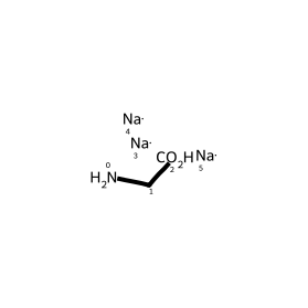 NCC(=O)O.[Na].[Na].[Na]